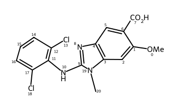 COc1cc2c(cc1C(=O)O)nc(Nc1c(Cl)cccc1Cl)n2C